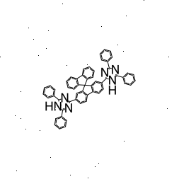 c1ccc(C2=NC(c3ccc4c(c3)C3(c5ccccc5-c5ccccc53)c3cc(C5=NC(c6ccccc6)NC(c6ccccc6)=N5)ccc3-4)NC(c3ccccc3)=N2)cc1